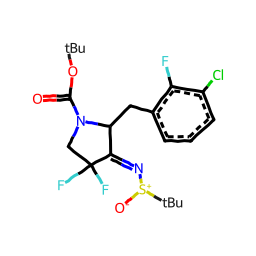 CC(C)(C)OC(=O)N1CC(F)(F)C(=N[S+]([O-])C(C)(C)C)C1Cc1cccc(Cl)c1F